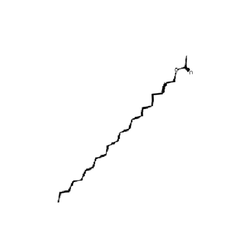 CCCCCCCCCCCCCCCCCCC=C[CH]OC(C)=O